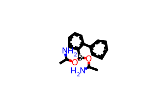 CC(N)OB(OC(C)N)c1ccccc1-c1ccccc1